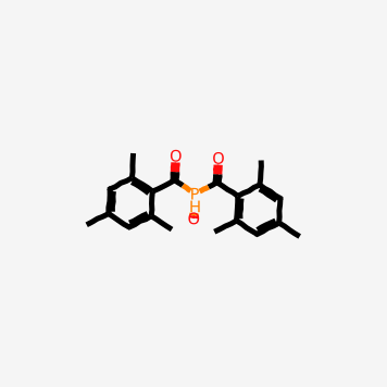 Cc1cc(C)c(C(=O)[PH](=O)C(=O)c2c(C)cc(C)cc2C)c(C)c1